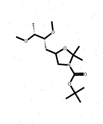 CO[C@H](C)[C@@H](CC1CN(C(=O)OC(C)(C)C)C(C)(C)O1)OC